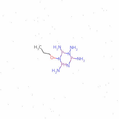 CCCON1P(N)N(N)P(N)N=[PH]1N